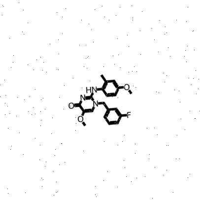 COc1ccc(Nc2nc(=O)c(OC)cn2Cc2cccc(F)c2)c(C)c1